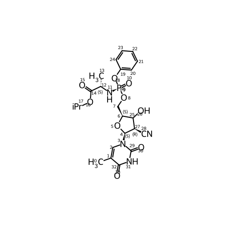 Cc1cn([C@H]2O[C@@H](CO[P@](=O)(N[C@@H](C)C(=O)OC(C)C)Oc3ccccc3)C(O)[C@H]2C#N)c(=O)[nH]c1=O